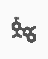 O=c1cc(-c2cc(O)ccc2[N+](=O)[O-])oc2ccccc12